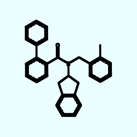 Cc1ccccc1CN(C(=O)c1ccccc1-c1ccccc1)C1Cc2ccccc2C1